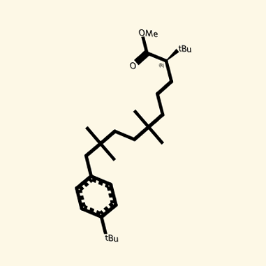 COC(=O)[C@H](CCCC(C)(C)CCC(C)(C)Cc1ccc(C(C)(C)C)cc1)C(C)(C)C